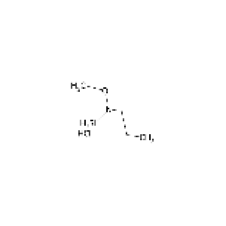 CCCN([SiH3])OC.Cl